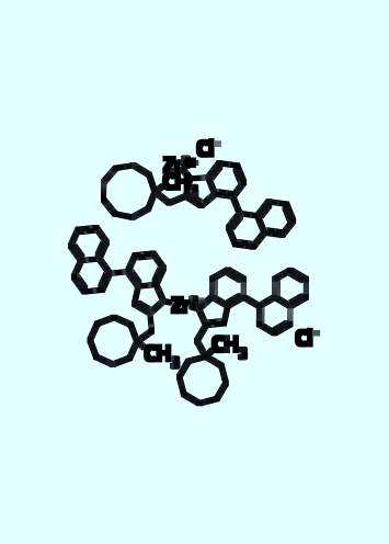 CC1(CC2=Cc3c(-c4cccc5ccccc45)cccc3[CH]2[Zr+2][CH]2C(CC3(C)CCCCCCC3)=Cc3c(-c4cccc5ccccc45)cccc32)CCCCCCC1.CC1(CC2=Cc3c(-c4cccc5ccccc45)cccc3[CH]2[Zr+3])CCCCCCCC1.[Cl-].[Cl-]